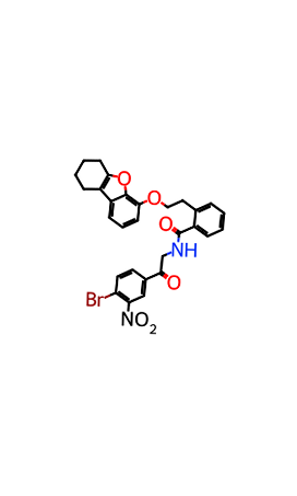 O=C(CNC(=O)c1ccccc1CCOc1cccc2c3c(oc12)CCCC3)c1ccc(Br)c([N+](=O)[O-])c1